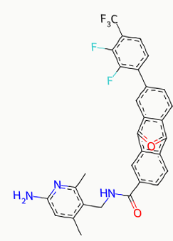 Cc1cc(N)nc(C)c1CNC(=O)c1ccc2c(c1)c1oc2c2ccc(-c3ccc(C(F)(F)F)c(F)c3F)cc21